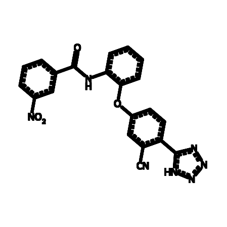 N#Cc1cc(Oc2ccccc2NC(=O)c2cccc([N+](=O)[O-])c2)ccc1-c1nnn[nH]1